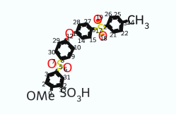 COc1ccc(S(=O)(=O)c2ccc(Oc3ccc(S(=O)(=O)c4ccc(C)cc4)cc3)cc2)cc1S(=O)(=O)O